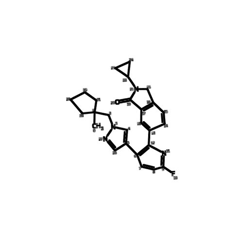 CC1(Cn2cc(-c3ccc(F)nc3-c3ccc4c(c3)C(=O)N(C3CC3)C4)cn2)CCCC1